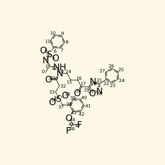 CC(=NS(=O)(=O)c1ccccc1)NN(CCCC(=O)c1nc(-c2ccccc2)no1)C(=O)CCS(=O)(=O)Cc1ccccc1OC(F)F